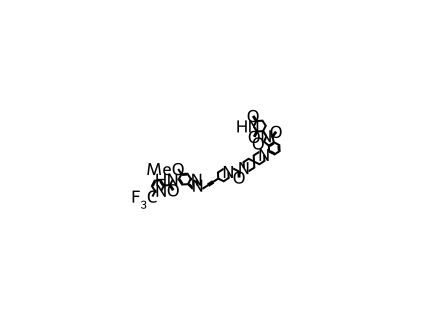 COc1cc2nn(CC#CC3CCN(CC(=O)N4CCC5(CC4)CCN(c4cccc6c4C(=O)N(C4CCC(=O)NC4=O)C6=O)CC5)CC3)cc2cc1NC(=O)c1cccc(C(F)(F)F)n1